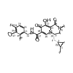 CC1C[C@H]1C[C@H]1CN(C)C(=O)c2c(O)c(=O)c(C(=O)NCc3ccc(F)c(Cl)c3F)cn21